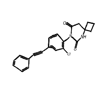 O=C1CC2(CCC2)NC(=O)N1c1ccc(C#Cc2ccccc2)cc1Cl